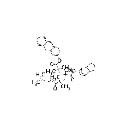 CC(COC(=O)C(C)(C)CC(C)(CC(C)(C)C(=O)Oc1ccc2cc3ccccc3cc2c1)C(=O)OC1CC2CC1C1CCCC21)C(F)(F)F